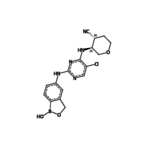 N#C[C@@H]1CCOC[C@H]1Nc1nc(Nc2ccc3c(c2)COB3O)ncc1Cl